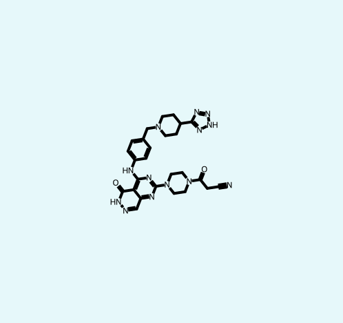 N#CCC(=O)N1CCN(c2nc(Nc3ccc(CN4CCC(c5nn[nH]n5)CC4)cc3)c3c(=O)[nH]ncc3n2)CC1